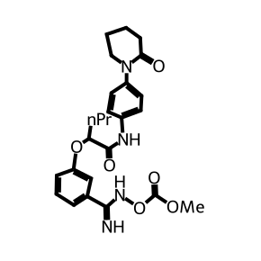 CCCC(Oc1cccc(C(=N)NOC(=O)OC)c1)C(=O)Nc1ccc(N2CCCCC2=O)cc1